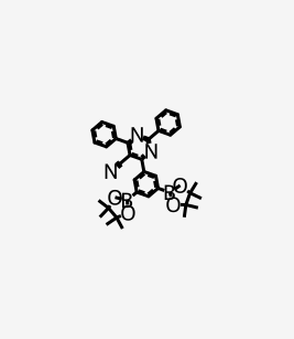 CC1(C)OB(c2cc(B3OC(C)(C)C(C)(C)O3)cc(-c3nc(-c4ccccc4)nc(-c4ccccc4)c3C#N)c2)OC1(C)C